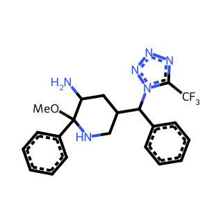 COC1(c2ccccc2)NCC(C(c2ccccc2)n2nnnc2C(F)(F)F)CC1N